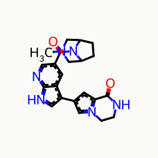 CN1CC2CCC(C1)N2C(=O)c1cnc2[nH]cc(-c3cc4n(c3)CCNC4=O)c2c1